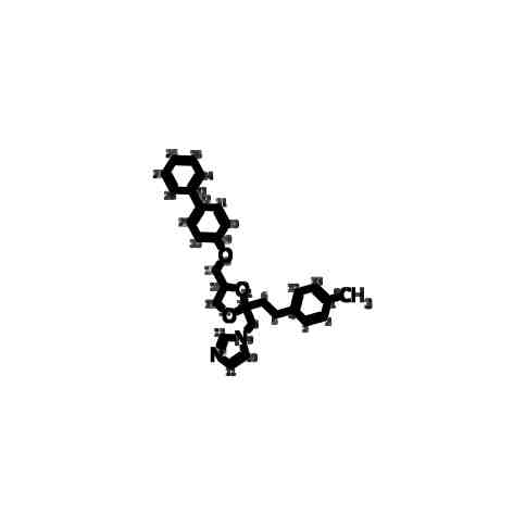 Cc1ccc(CCC2(Cn3ccnc3)OCC(COc3ccc(-c4ccccc4)cc3)O2)cc1